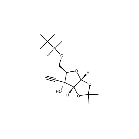 C#C[C@@]1(O)[C@@H](CO[Si](C)(C)C(C)(C)C)O[C@@H]2OC(C)(C)O[C@@H]21